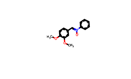 COc1ccc(C=[N+]([O-])c2ccccc2)cc1OC